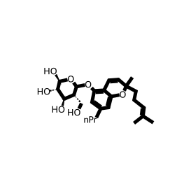 CCCc1cc(OC2O[C@H](O)[C@@H](O)[C@H](O)[C@H]2CO)c2c(c1)OC(C)(CCC=C(C)C)C=C2